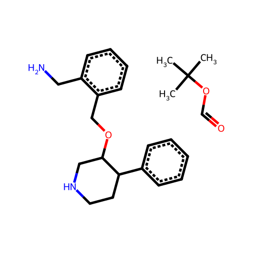 CC(C)(C)OC=O.NCc1ccccc1COC1CNCCC1c1ccccc1